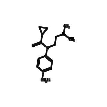 CCOC(=O)c1ccc(N(CCN(C)C)C(=O)C2CC2)cc1